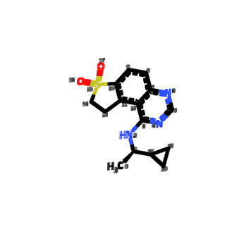 C[C@@H](Nc1ncnc2ccc3c(c12)CCS3(=O)=O)C1CC1